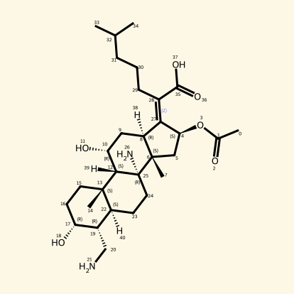 CC(=O)O[C@H]1C[C@@]2(C)[C@@H](C[C@@H](O)[C@H]3[C@@]4(C)CC[C@@H](O)[C@@H](CN)[C@@H]4CC[C@@]32N)/C1=C(\CCCC(C)C)C(=O)O